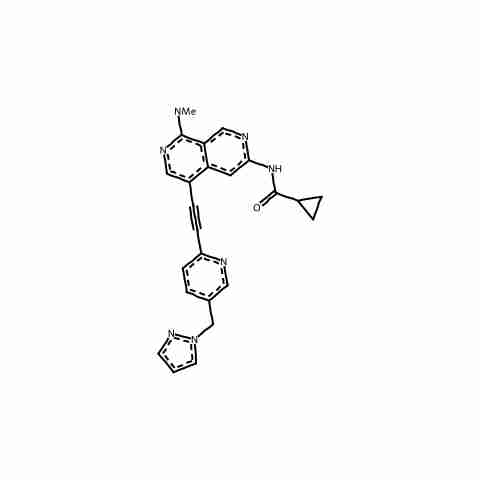 CNc1ncc(C#Cc2ccc(Cn3cccn3)cn2)c2cc(NC(=O)C3CC3)ncc12